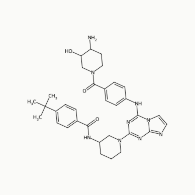 CC(C)(C)c1ccc(C(=O)NC2CCCN(c3nc(Nc4ccc(C(=O)N5CCC(N)C(O)C5)cc4)n4ccnc4n3)C2)cc1